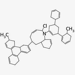 CC1C=CC2=C(C1)C1CC(C3C/C=C\C(Cl)N(C4=CC(C5=CC=CCC5C)CC(C5C=CC=CC5)C4)C4C=CCCC4C3)=CC=C1C1=C2C=CCC1